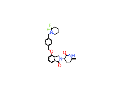 C=C1CCC(N2Cc3c(OCc4ccc(CN5CCCCC5(F)F)cc4)cccc3C2=O)C(=O)N1